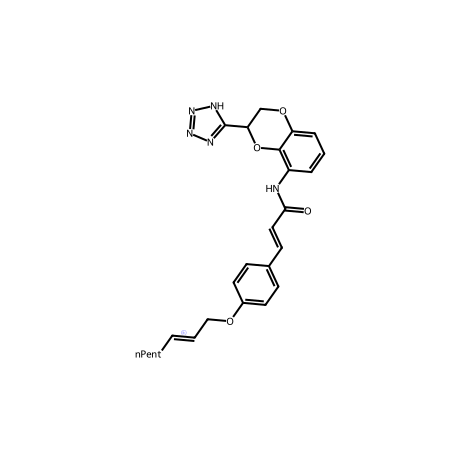 CCCCC/C=C/COc1ccc(C=CC(=O)Nc2cccc3c2OC(c2nnn[nH]2)CO3)cc1